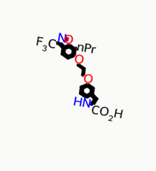 CCCc1c(OCCCOc2ccc3[nH]c(C(=O)O)cc3c2)ccc2c(C(F)(F)F)noc12